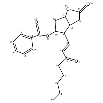 CCCCCC(=O)C=CC1C(OC(=O)c2ccccc2)CC2OC(=O)CC21